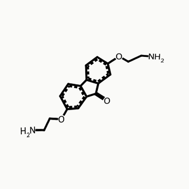 NCCOc1ccc2c(c1)C(=O)c1cc(OCCN)ccc1-2